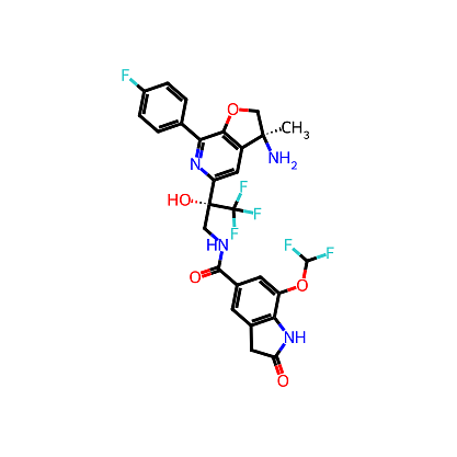 C[C@@]1(N)COc2c1cc([C@](O)(CNC(=O)c1cc3c(c(OC(F)F)c1)NC(=O)C3)C(F)(F)F)nc2-c1ccc(F)cc1